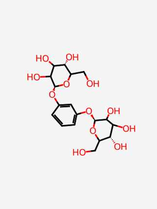 OCC1O[C@@H](Oc2cccc(O[C@@H]3OC(CO)[C@@H](O)C(O)C3O)c2)C(O)C(O)[C@@H]1O